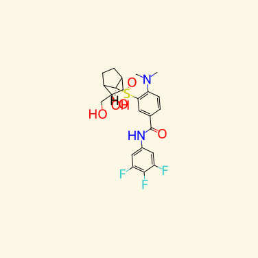 CN(C)c1ccc(C(=O)Nc2cc(F)c(F)c(F)c2)cc1S(=O)(=O)[C@@H]1C2CCC1[C@@](O)(CO)C2